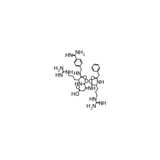 N=C(N)NCCCC(NC(=O)Cc1ccccc1)C(=O)N[C@@H](CC(=O)O)C(=O)NC(CCCNC(=N)N)C(=O)NCc1ccc(C(=N)N)cc1